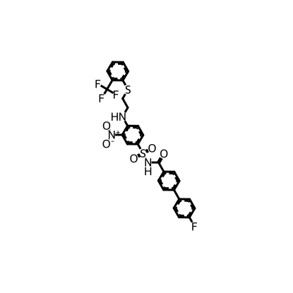 O=C(NS(=O)(=O)c1ccc(NCCSc2ccccc2C(F)(F)F)c([N+](=O)[O-])c1)c1ccc(-c2ccc(F)cc2)cc1